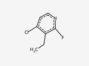 CCc1c(Cl)ccnc1F